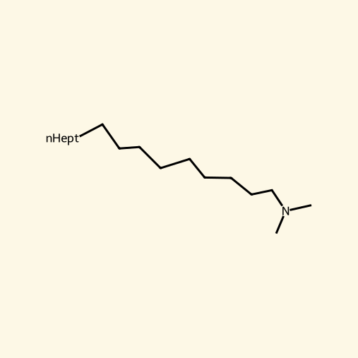 [CH2]CCCCCCCCCCCCCCCN(C)C